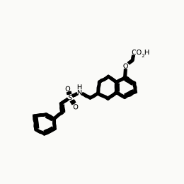 O=C(O)COc1cccc2c1CCC(CNS(=O)(=O)C=Cc1ccccc1)C2